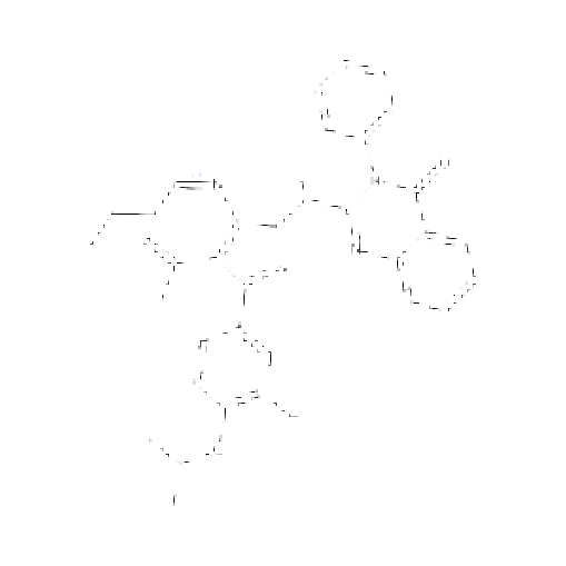 C=C(C)c1c(-c2ccc(OC(C)C)c(F)c2)nn(C(C)c2nc3ccccc3c(=O)n2-c2ccccc2)c1/N=C\CCC